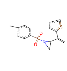 C=C(c1cccs1)C1CN1S(=O)(=O)c1ccc(C)cc1